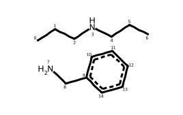 CCCNCCC.NCc1ccccc1